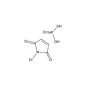 CCN1C(=O)C=CC1=O.O=[PH](O)O